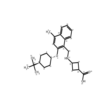 Cc1cc(O[C@H]2CC[C@H](C(C)(C)C)CC2)c(CNC2CC(C(=O)O)C2)c2ccccc12